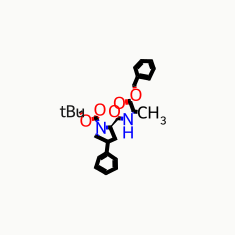 CC(NC(=O)[C@H]1CC(c2ccccc2)CN1C(=O)OC(C)(C)C)C(=O)OCc1ccccc1